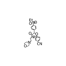 CCS(=O)(=O)c1ccc(C(Oc2ccc(C#N)cc2)C(=O)NCCN2CCOCC2)cc1